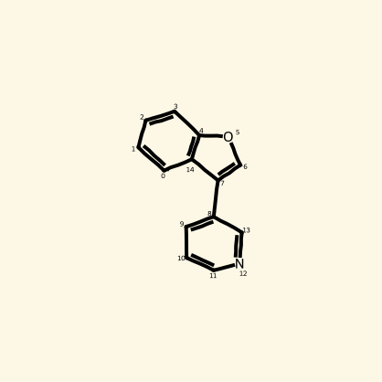 [c]1cccc2occ(-c3cccnc3)c12